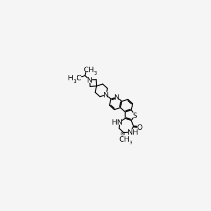 CC(C)N1CC2(CCN(c3ccc4c(ccc5sc6c(c54)NC[C@@H](C)NC6=O)n3)CC2)C1